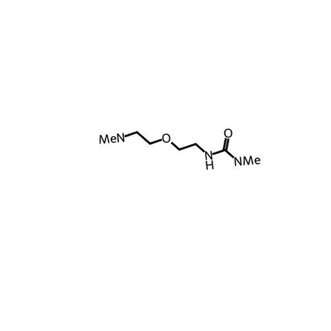 CNCCOCCNC(=O)NC